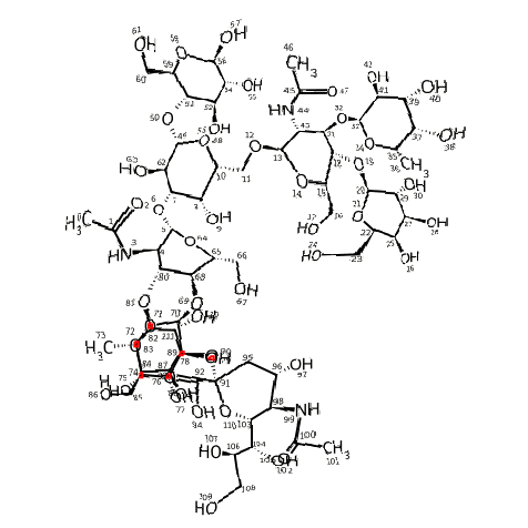 CC(=O)N[C@H]1[C@H](O[C@H]2[C@@H](O)[C@@H](CO[C@@H]3O[C@H](CO)[C@@H](O[C@@H]4O[C@H](CO)[C@H](O)[C@H](O)[C@H]4O)[C@H](O[C@@H]4O[C@@H](C)[C@@H](O)[C@@H](O)[C@@H]4O)[C@H]3NC(C)=O)O[C@@H](O[C@H]3[C@H](O)[C@@H](O)[C@H](O)O[C@@H]3CO)[C@@H]2O)O[C@H](CO)[C@@H](O[C@@H]2O[C@@H](C)[C@@H](O)[C@@H](O)[C@@H]2O)[C@@H]1O[C@@H]1O[C@H](CO)[C@H](O)[C@H](O[C@]2(C(=O)O)C[C@H](O)[C@@H](NC(C)=O)[C@H]([C@H](O)[C@H](O)CO)O2)[C@H]1O